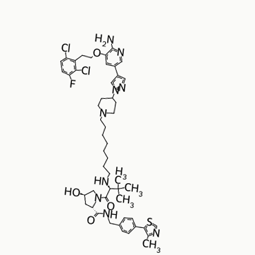 Cc1ncsc1-c1ccc(CNC(=O)[C@@H]2C[C@@H](O)CN2C(=O)[C@@H](NCCCCCCCCN2CCC(n3cc(-c4cnc(N)c(OCCc5c(Cl)ccc(F)c5Cl)c4)cn3)CC2)C(C)(C)C)cc1